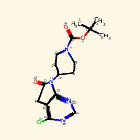 CC(C)(C)OC(=O)N1CCC(N2C(=O)Cc3c(Cl)ncnc32)CC1